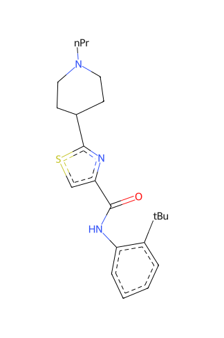 CCCN1CCC(c2nc(C(=O)Nc3ccccc3C(C)(C)C)cs2)CC1